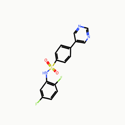 O=S(=O)(Nc1cc(F)ccc1F)c1ccc(-c2cncnc2)cc1